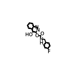 O=C(NCc1ccc(F)cc1)Oc1nnc2ccccc2c1O